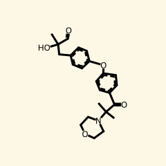 CC(O)(C=O)Cc1ccc(Oc2ccc(C(=O)C(C)(C)N3CCOCC3)cc2)cc1